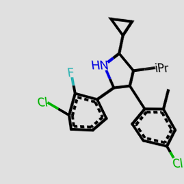 Cc1cc(Cl)ccc1C1C(c2cccc(Cl)c2F)NC(C2CC2)C1C(C)C